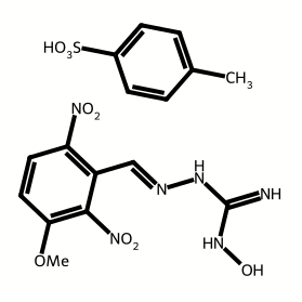 COc1ccc([N+](=O)[O-])c(C=NNC(=N)NO)c1[N+](=O)[O-].Cc1ccc(S(=O)(=O)O)cc1